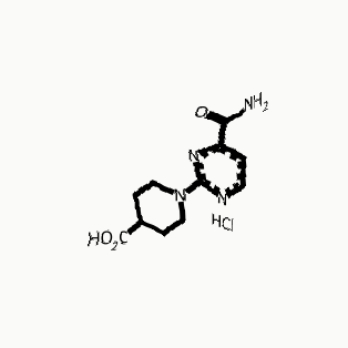 Cl.NC(=O)c1ccnc(N2CCC(C(=O)O)CC2)n1